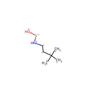 CC(C)(C)CCNSO